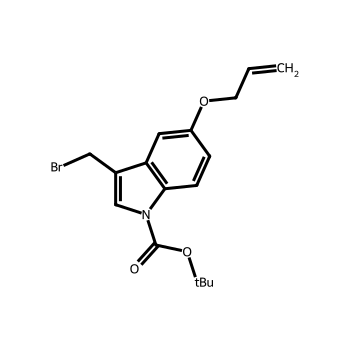 C=CCOc1ccc2c(c1)c(CBr)cn2C(=O)OC(C)(C)C